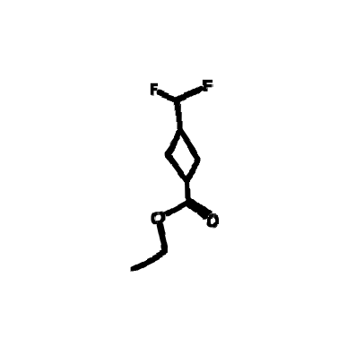 CCOC(=O)C1CC(C(F)F)C1